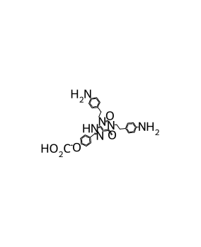 Nc1ccc(CCn2c(=O)c3nc(-c4ccc(OCC(=O)O)cc4)[nH]c3n(CCc3ccc(N)cc3)c2=O)cc1